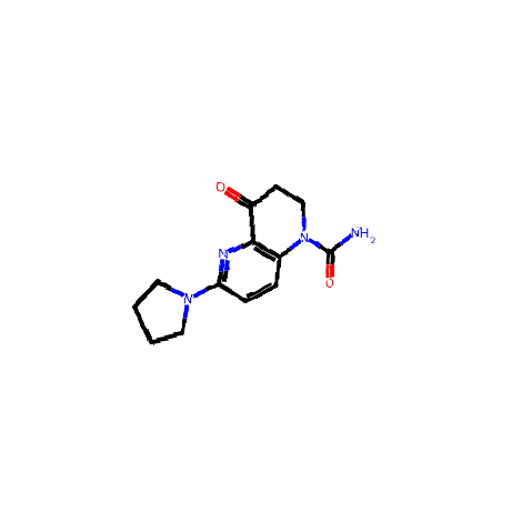 NC(=O)N1CCC(=O)c2nc(N3CCCC3)ccc21